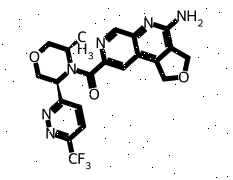 C[C@@H]1COC[C@H](c2ccc(C(F)(F)F)nn2)N1C(=O)c1cc2c3c(c(N)nc2cn1)COC3